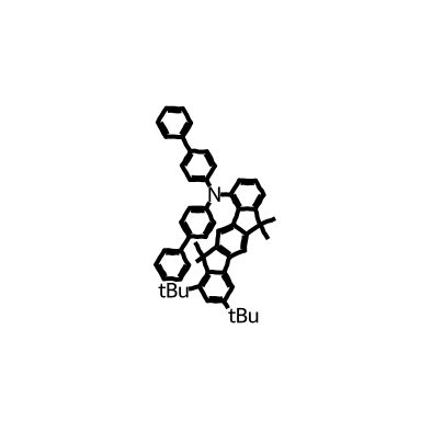 CC(C)(C)c1cc2c(c(C(C)(C)C)c1)C(C)(C)c1cc3c(cc1-2)C(C)(C)c1cccc(N(c2ccc(-c4ccccc4)cc2)c2ccc(-c4ccccc4)cc2)c1-3